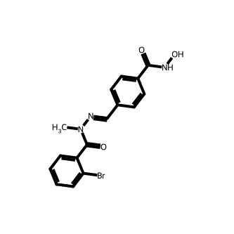 CN(N=Cc1ccc(C(=O)NO)cc1)C(=O)c1ccccc1Br